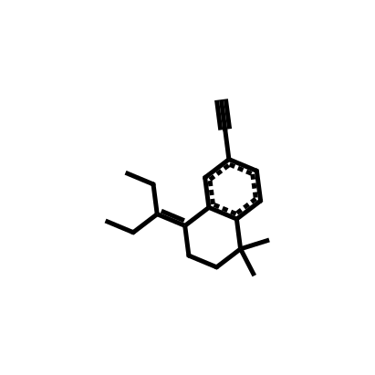 C#Cc1ccc2c(c1)C(=C(CC)CC)CCC2(C)C